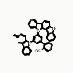 C=C/C=C\c1c(C)c2ccccc2n1-c1cc(-c2ccccc2C#N)cc(-n2c3ccccc3c3ccc4oc5ccccc5c4c32)c1